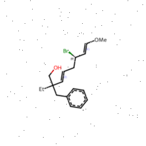 CCC(/C=C/C[C@@H](Br)/C=C/OC)(CO)Cc1ccccc1